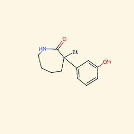 CCC1(c2cccc(O)c2)CCCCNC1=O